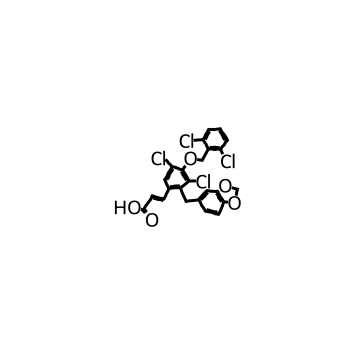 O=C(O)/C=C/c1cc(Cl)c(OCc2c(Cl)cccc2Cl)c(Cl)c1Cc1ccc2c(c1)OCO2